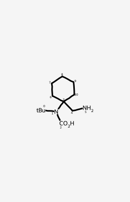 CC(C)(C)N(C(=O)O)C1(CN)CCCCC1